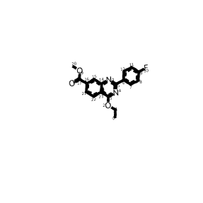 CCOc1nc(-c2ccc(F)cc2)nc2cc(C(=O)OC)ccc12